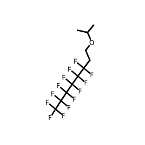 CC(C)OCCC(F)(F)C(F)(F)C(F)(F)C(F)(F)C(F)(F)C(F)(F)F